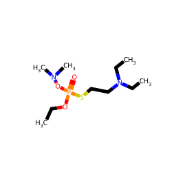 CCOP(=O)(ON(C)C)SCCN(CC)CC